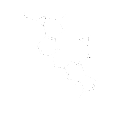 C[S+]([O-])Cc1cc(Nc2cc(NC3CC3)n3ncc(C#N)c3n2)ccc1C1CC1N